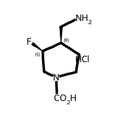 Cl.NC[C@H]1CCN(C(=O)O)C[C@H]1F